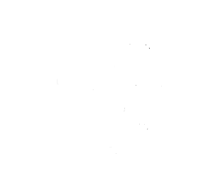 CN1CCC(C(=O)c2cc(I)ccc2F)CC1